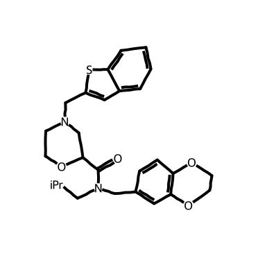 CC(C)CN(Cc1ccc2c(c1)OCCO2)C(=O)C1CN(Cc2cc3ccccc3s2)CCO1